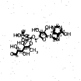 C[C@@H](OP(=O)(OC[C@H]1O[C@@H](n2cnc3c(O)ncnc32)[C@H](O)[C@@H]1O)OP(=O)(O)O)[C@H](O)[C@H](O)[C@@H](O)C=O